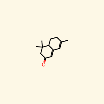 CC1=CC2=CC(=O)CC(C)(C)C2CC1